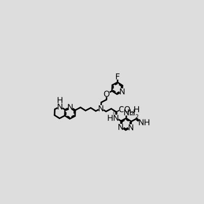 N=Cc1ncnc(N[C@@H](CCN(CCCCc2ccc3c(n2)NCCC3)CCOc2cncc(F)c2)C(=O)O)c1N